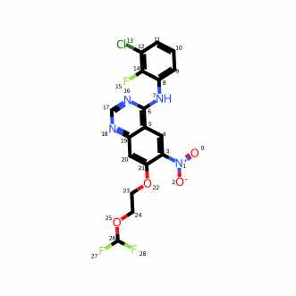 O=[N+]([O-])c1cc2c(Nc3cccc(Cl)c3F)ncnc2cc1OCCOC(F)F